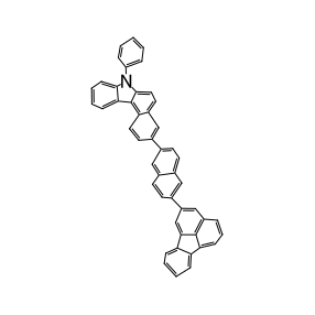 c1ccc(-n2c3ccccc3c3c4ccc(-c5ccc6cc(-c7cc8c9c(cccc9c7)-c7ccccc7-8)ccc6c5)cc4ccc32)cc1